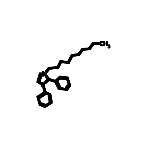 CCCCCCCCCCN1C=CN(c2ccccc2)C1c1ccccc1